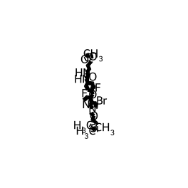 C[Si](C)(C)CCOCn1cc(Br)c2c(Oc3c(F)cc(NC(=O)NCCCS(C)(=O)=O)cc3F)ccnc21